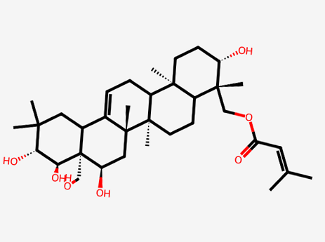 CC(C)=CC(=O)OC[C@]1(C)C2CC[C@]3(C)C(CC=C4C5CC(C)(C)[C@@H](O)[C@H](O)[C@]5(CO)[C@H](O)C[C@]43C)[C@@]2(C)CC[C@@H]1O